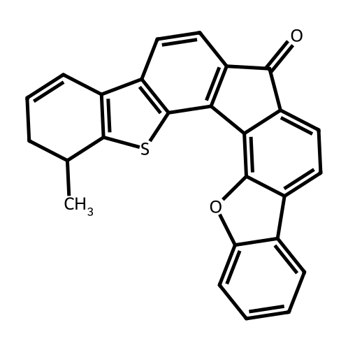 CC1CC=Cc2c1sc1c3c(ccc21)C(=O)c1ccc2c(oc4ccccc42)c1-3